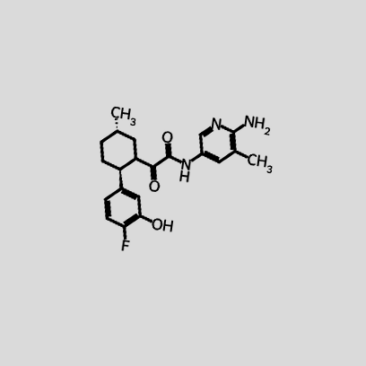 Cc1cc(NC(=O)C(=O)C2C[C@@H](C)CC[C@@H]2c2ccc(F)c(O)c2)cnc1N